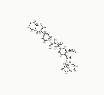 O=C(NS(=O)(=O)c1ccc(NCC23CC4CC(CC(C4)C2)C3)c([N+](=O)[O-])c1)c1ccc(C2=CCC3CCCCC3C2)cc1